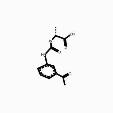 CC(=O)c1cccc(NC(=O)N[C@H](C)C(=O)O)c1